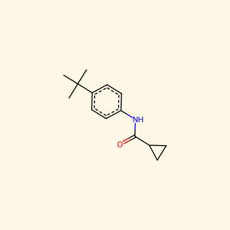 CC(C)(C)c1ccc(NC(=O)C2CC2)cc1